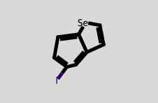 Ic1ccc2[se]ccc2c1